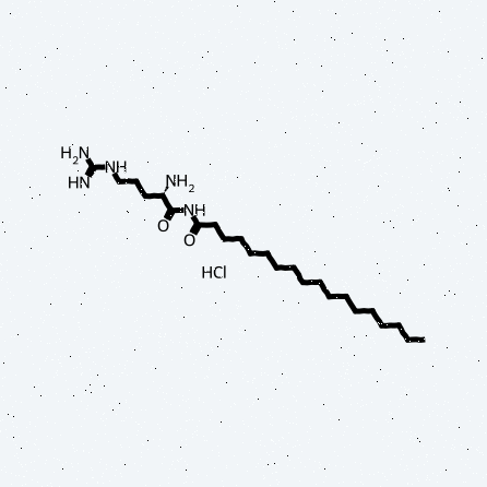 CCCCCCCCCCCCCCCCCC(=O)NC(=O)[C@@H](N)CCCNC(=N)N.Cl